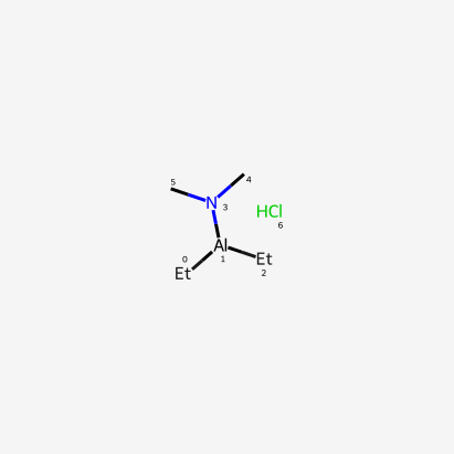 C[CH2][Al]([CH2]C)[N](C)C.Cl